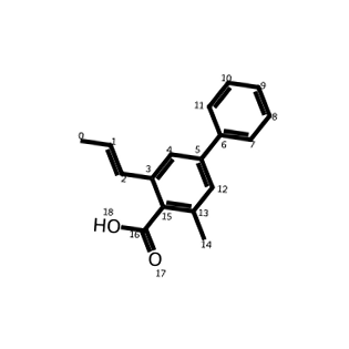 CC=Cc1cc(-c2ccccc2)cc(C)c1C(=O)O